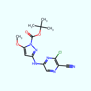 COc1cc(Nc2cnc(C#N)c(Cl)n2)nn1C(=O)OC(C)(C)C